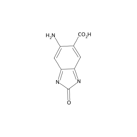 Nc1cc2c(cc1C(=O)O)=NC(=O)N=2